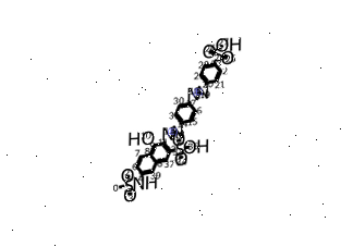 CS(=O)(=O)Nc1ccc2c(O)c(/N=N/c3ccc(/N=N/c4ccc(S(=O)(=O)O)cc4)cc3)c(S(=O)(=O)O)cc2c1